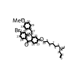 C=CCN(C)CCCCCCOc1ccc(C(=O)c2ccc(Br)cc2)c(NCc2ccc(OC)cc2)c1